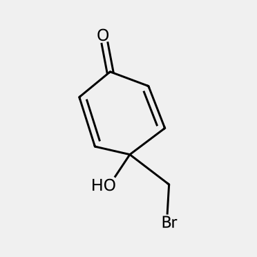 O=C1C=CC(O)(CBr)C=C1